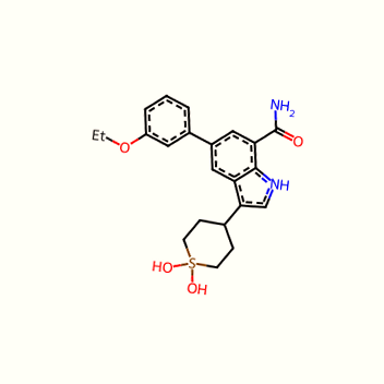 CCOc1cccc(-c2cc(C(N)=O)c3[nH]cc(C4CCS(O)(O)CC4)c3c2)c1